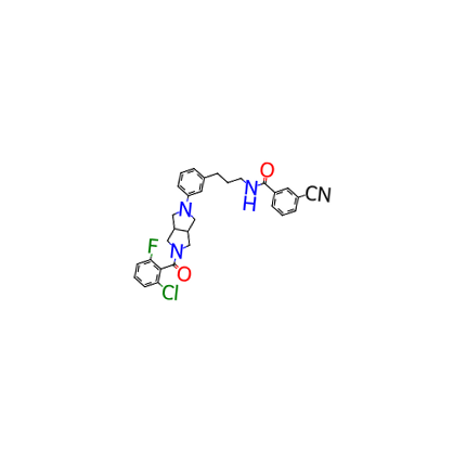 N#Cc1cccc(C(=O)NCCCc2cccc(N3CC4CN(C(=O)c5c(F)cccc5Cl)CC4C3)c2)c1